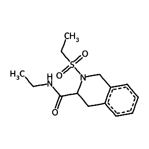 CCNC(=O)C1Cc2ccccc2CN1S(=O)(=O)CC